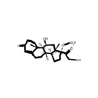 C[C@]12C=CC(=O)C=C1CC[C@@H]1[C@@H]2[C@@H](O)C[C@@]2(C)[C@H]1CC[C@]2(OS(=O)(=O)O)C(=O)CO